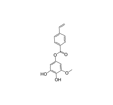 C=Cc1ccc(C(=O)Oc2cc(O)c(O)c(OC)c2)cc1